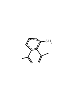 C=C(C)c1cccc([SiH3])c1C(=C)C